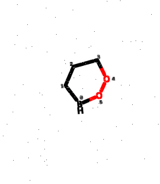 B1CCCOO1